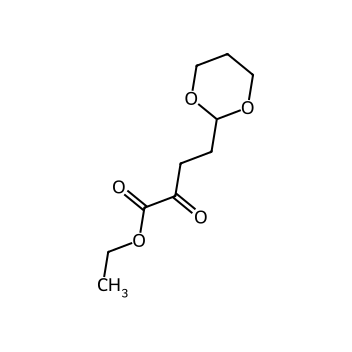 CCOC(=O)C(=O)CCC1OCCCO1